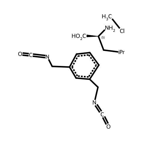 CC(C)C[C@H](N)C(=O)O.CCl.O=C=NCc1cccc(CN=C=O)c1